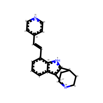 C(=C\c1cccc2c3c([nH]c12)C1CCN(CC1)C3)/c1ccncc1